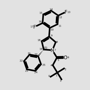 CC(C)(C)CC(=O)N1CC(c2cc(F)ccc2F)=C[C@H]1c1ccccc1